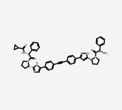 N[C@@H](C(=O)N1CCC[C@H]1c1cc(-c2ccc(C#Cc3ccc(-c4cnc([C@@H]5CCCN5C(=O)[C@H](NC(=O)C5CC5)c5ccccc5)[nH]4)cc3)cc2)n[nH]1)c1ccccc1